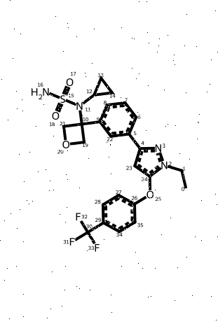 CCn1nc(-c2cccc(C3(N(C4CC4)S(N)(=O)=O)COC3)c2)cc1Oc1ccc(C(F)(F)F)cc1